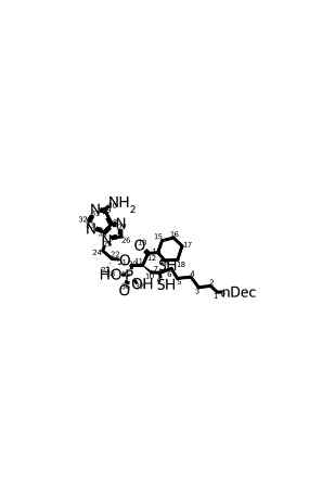 CCCCCCCCCCCCCCCCC(S)(S)C[C@H](C(=O)C1CCCCC1)[C@H](O[C@H](C)Cn1cnc2c(N)ncnc21)P(=O)(O)O